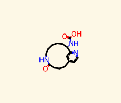 O=C(O)N[C@H]1CCCCCNC(=O)CCCc2ccnc1c2